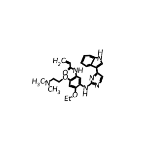 C=CC(=O)Nc1cc(Nc2nccc(-c3c[nH]c4ccccc34)n2)c(OCC)cc1OCCN(C)C